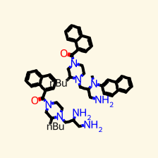 CCCCC1CN(C(=O)c2cccc3ccccc23)CCN1CC(CN)N(C)c1ccc2ccccc2c1.CCCCC1CN(C(=O)c2cccc3ccccc23)CCN1CC(N)CN